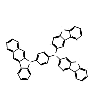 c1ccc2cc3c(cc2c1)c1ccccc1n3-c1ccc(N(c2ccc3c(c2)oc2ccccc23)c2ccc3oc4ccccc4c3c2)cc1